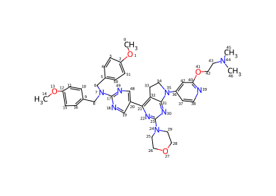 COc1ccc(CN(Cc2ccc(OC)cc2)c2ncc(-c3nc(N4CCOCC4)nc4c3CCN4c3ccnc(OCCN(C)C)c3)cn2)cc1